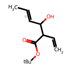 C=CC(C(=O)OC(C)(C)C)C(O)/C=C/C